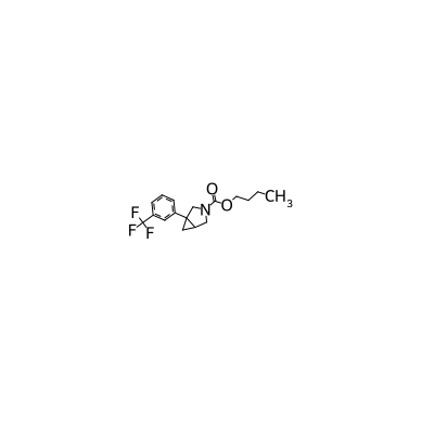 CCCCOC(=O)N1CC2CC2(c2cccc(C(F)(F)F)c2)C1